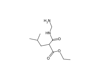 CCOC(=O)C(CC(C)C)C(=O)NCN